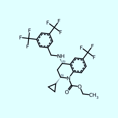 CCOC(=O)N1c2ccc(C(F)(F)F)cc2[C@@H](NCc2cc(C(F)(F)F)cc(C(F)(F)F)c2)C[C@H]1C1CC1